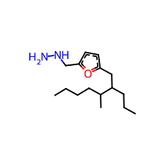 CCCCC(C)C(CCC)Cc1ccc(CNN)o1